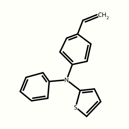 C=Cc1ccc(N(c2ccccc2)c2cccs2)cc1